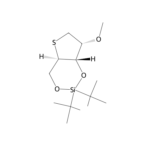 CO[C@H]1CS[C@@H]2CO[Si](C(C)(C)C)(C(C)(C)C)O[C@@H]12